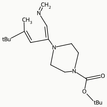 C=N/C=C(\C=C(/C)C(C)(C)C)N1CCN(C(=O)OC(C)(C)C)CC1